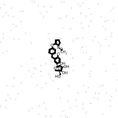 CO/N=C1\CCC=C1Oc1ccc(Cc2cc([C@]34OC[C@](CO)(O3)[C@@H](O)[C@H](O)[C@H]4O)ccc2Cl)cc1